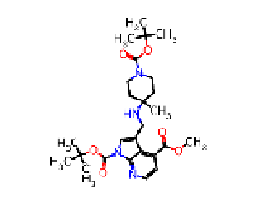 COC(=O)c1ccnc2c1c(CNC1(C)CCN(C(=O)OC(C)(C)C)CC1)cn2C(=O)OC(C)(C)C